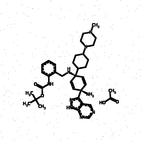 CC(=O)O.CN1CCN(C2CCC([C@]3(NCc4ccccc4NC(=O)OC(C)(C)C)C=C[C@](N)(c4n[nH]c5ncncc54)C=C3)CC2)CC1